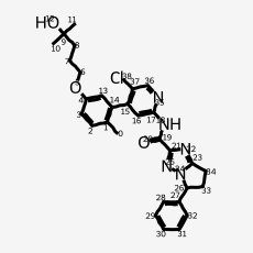 Cc1ccc(OCCCC(C)(C)O)cc1-c1cc(NC(=O)c2nc3n(n2)C(c2ccccc2)CC3)ncc1Cl